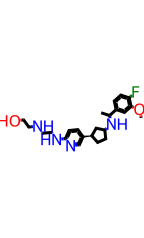 COc1cc(C(C)NC2CC[C@@H](c3ccc(NCCNCCO)nc3)C2)ccc1F